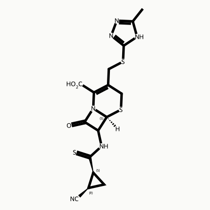 Cc1nnc(SCC2=C(C(=O)O)N3C(=O)C(NC(=S)[C@H]4C[C@H]4C#N)[C@@H]3SC2)[nH]1